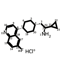 Cl.N[C@@H](C[C@H]1CC[C@@H](c2ccnc3ccc(F)cc32)CC1)C1CC1